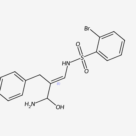 NC(O)/C(=C/NS(=O)(=O)c1ccccc1Br)Cc1ccccc1